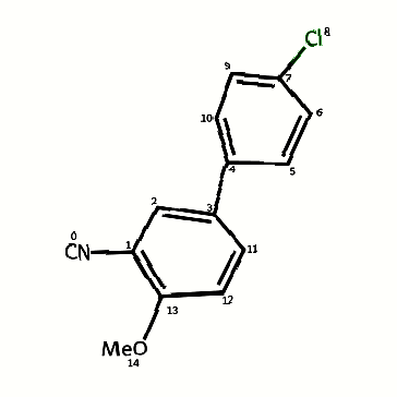 [C-]#[N+]c1cc(-c2ccc(Cl)cc2)ccc1OC